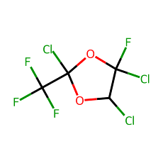 FC1(Cl)OC(Cl)(C(F)(F)F)OC1Cl